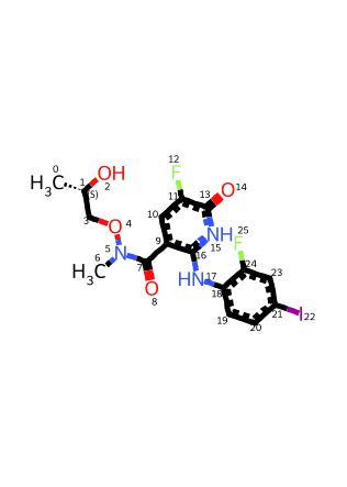 C[C@H](O)CON(C)C(=O)c1cc(F)c(=O)[nH]c1Nc1ccc(I)cc1F